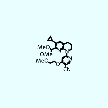 COCCOc1cc(N2CCCc3cc(C4CC4)c(C(OC)OC)nc32)ncc1C#N